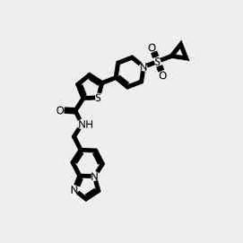 O=C(NCc1ccn2ccnc2c1)c1ccc(C2=CCN(S(=O)(=O)C3CC3)CC2)s1